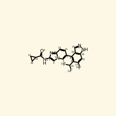 O=C(Nc1cn2cc(-c3c(C(F)F)c(F)cc4[nH]ncc34)ccc2n1)C1CC1